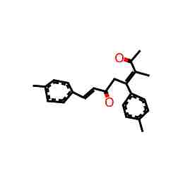 CC(=O)C(C)=C(CC(=O)C=Cc1ccc(C)cc1)c1ccc(C)cc1